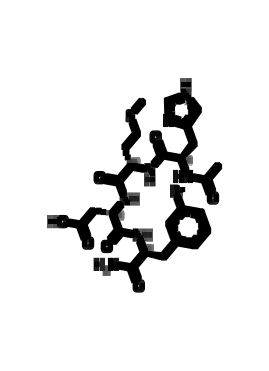 CSCC[C@H](NC(=O)[C@@H](Cc1c[nH]cn1)NC(C)=O)C(=O)N[C@@H](CC(=O)O)C(=O)N[C@@H](Cc1cccc(Br)c1)C(N)=O